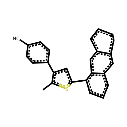 Cc1sc(-c2cccc3cc4ccccc4cc23)cc1-c1ccc(C#N)cc1